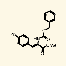 COC(=O)/C(=C/c1ccc(C(C)C)cc1)NC(=O)OCc1ccccc1